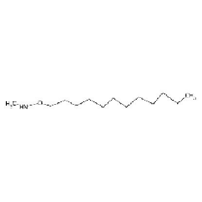 CCCCCCCCCCCCONC